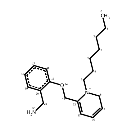 CCCCCCCN1CC=CC=C1COc1ccccc1CN